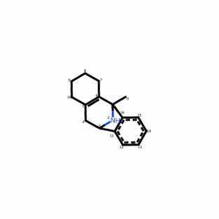 CC12NC(CC3=C1CCCC3)c1ccccc12